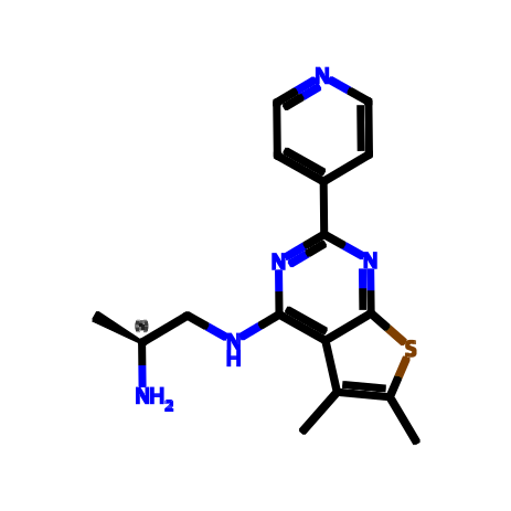 Cc1sc2nc(-c3ccncc3)nc(NC[C@H](C)N)c2c1C